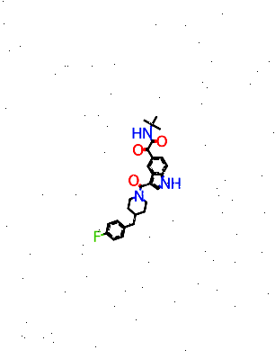 CC(C)(C)NC(=O)C(=O)c1ccc2[nH]cc(C(=O)N3CCC(Cc4ccc(F)cc4)CC3)c2c1